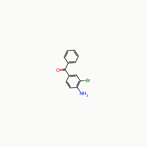 Nc1ccc(C(=O)c2ccccc2)cc1Br